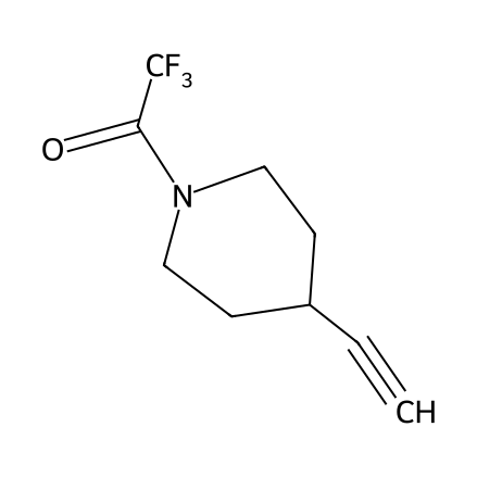 C#CC1CCN(C(=O)C(F)(F)F)CC1